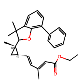 CCOC(=O)C=C(C)C=C[C@@H]1C[C@]1(C)C1Oc2c(-c3ccccc3)cccc2C1(C)C